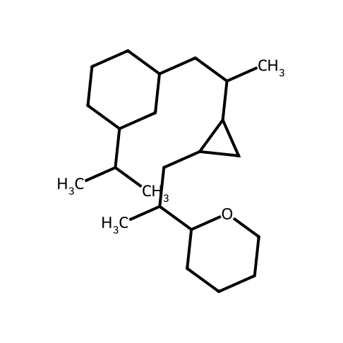 CC(C)C1CCCC(CC(C)C2CC2CC(C)C2CCCCO2)C1